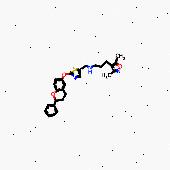 Cc1noc(C)c1CCCNCc1cnc(Oc2ccc3c(c2)CCC(c2ccccc2)O3)s1